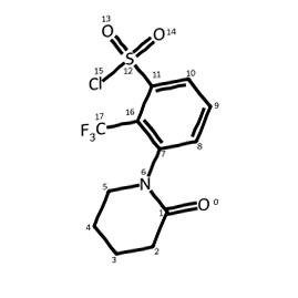 O=C1CCCCN1c1cccc(S(=O)(=O)Cl)c1C(F)(F)F